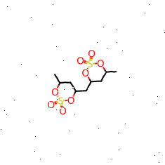 CC1CC(CC2CC(C)OS(=O)(=O)O2)OS(=O)(=O)O1